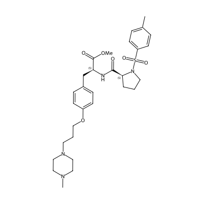 COC(=O)[C@H](Cc1ccc(OCCCN2CCN(C)CC2)cc1)NC(=O)[C@@H]1CCCN1S(=O)(=O)c1ccc(C)cc1